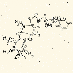 Cc1cc(OC(C)C(=O)N(C)C2CCN(CC(O)Nc3ccccc3)CC2)c(C)c(C)c1N